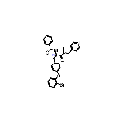 O=C(NCc1ccncc1)/C(=C\c1ccc(Oc2ccccc2Br)cc1)NC(=O)c1ccccc1